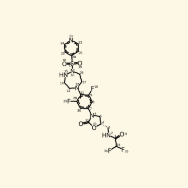 O=C(NC[C@H]1CN(c2cc(F)c(N3CCNN(S(=O)(=O)c4ccncc4)CC3)c(F)c2)C(=O)O1)C(F)F